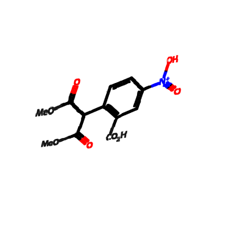 COC(=O)C(C(=O)OC)c1ccc([N+](=O)O)cc1C(=O)O